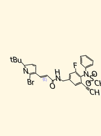 C#Cc1cc(CNC(=O)/C=C/c2ccc(C(C)(C)C)nc2Br)cc(F)c1N(c1ccccc1)S(C)(=O)=O